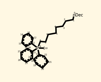 CCCCCCCCCCCCCCCCCCP(I)(c1ccccc1)(c1ccccc1)c1ccccc1